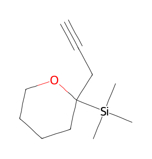 C#CCC1([Si](C)(C)C)CCCCO1